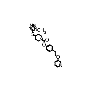 Cn1nnnc1SC1CCN(C(=O)Oc2ccc(CCOc3cccnc3)cc2)CC1